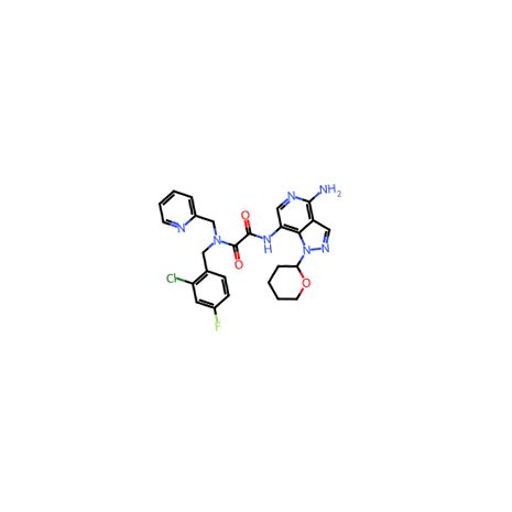 Nc1ncc(NC(=O)C(=O)N(Cc2ccccn2)Cc2ccc(F)cc2Cl)c2c1cnn2C1CCCCO1